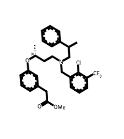 COC(=O)Cc1cccc(O[C@H](C)CCN(Cc2cccc(C(F)(F)F)c2Cl)CC(C)c2ccccc2)c1